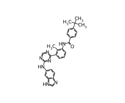 Cc1c(NC(=O)c2ccc(C(C)(C)C)cc2)cccc1-c1ncnc(Nc2ccc3nc[nH]c3c2)n1